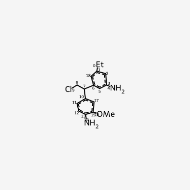 CCc1cc(N)cc(C(CCl)c2ccc(N)c(OC)c2)c1